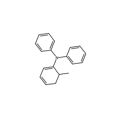 CC1CC=CC=C1N(c1ccccc1)c1ccccc1